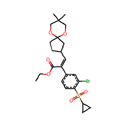 CCOC(=O)/C(=C\C1CCC2(C1)OCC(C)(C)CO2)c1ccc(S(=O)(=O)C2CC2)c(Br)c1